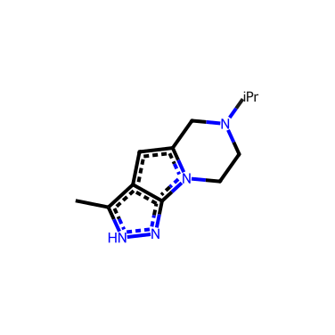 Cc1[nH]nc2c1cc1n2CCN(C(C)C)C1